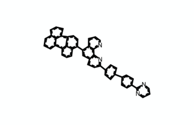 c1cnc(-c2ccc(-c3ccc(-c4ccc5cc(-c6ccc7c8cccc9cccc(c%10cccc6c%107)c98)c6cccnc6c5n4)cc3)cc2)nc1